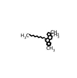 CCCCCCCCCC[C@@H]1Cc2cc(C)ccc2C2CCC3(C)C(C)CCC3C21